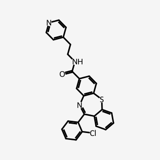 O=C(NCCc1ccncc1)c1ccc2c(c1)N=C(c1ccccc1Cl)c1ccccc1S2